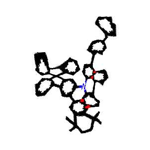 CC1(C)CCC(C)(C)c2cc(-c3cc4c(cc3N(c3ccc(-c5ccc(-c6ccccc6)cc5)cc3)c3ccccc3-c3ccccc3)C3(c5ccccc5-c5ccccc53)c3ccccc3-4)ccc21